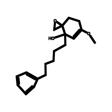 COC1=CC(O)(CCCCCc2ccccc2)C2(CC1)CO2